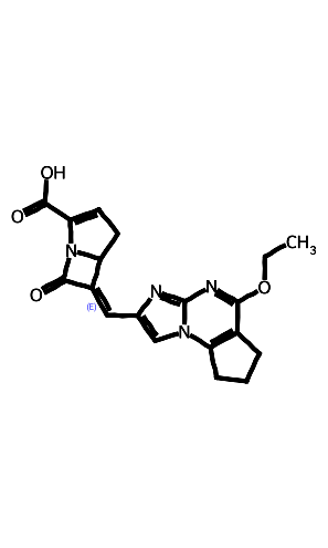 CCOc1nc2nc(/C=C3/C(=O)N4C(C(=O)O)=CCC34)cn2c2c1CCC2